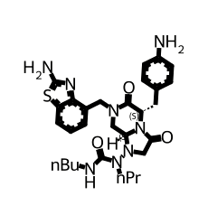 CCCCNC(=O)N(CCC)N1CC(=O)N2[C@@H](Cc3ccc(N)cc3)C(=O)N(Cc3cccc4sc(N)nc34)C[C@@H]21